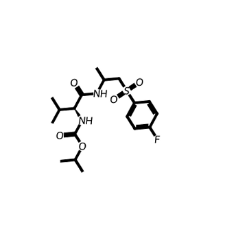 CC(CS(=O)(=O)c1ccc(F)cc1)NC(=O)[C@@H](NC(=O)OC(C)C)C(C)C